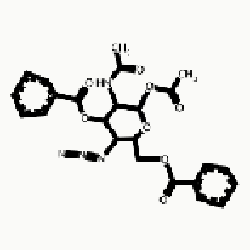 CC(=O)NC1C(OC(C)=O)OC(COC(=O)c2ccccc2)C(N=[N+]=[N-])C1OC(=O)c1ccccc1